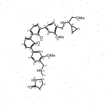 COCC(NCc1ncc(-c2cccc(-c3cccc(-c4cnc(CNC[C@@H]5CCC(=O)N5)c(OC)n4)c3Cl)c2Cl)nc1OC)C1CC1